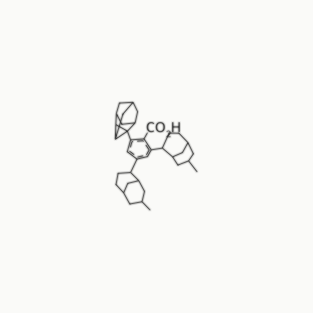 CC1CC2CCC(c3cc(C4CCC5CC(C)CC4C5)c(C(=O)O)c(C45C6CC7CC(C6)C4C5C7)c3)C(C1)C2